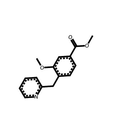 COC(=O)c1ccc(Cc2ccccn2)c(OC)c1